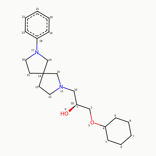 O[C@H](COC1CCCCC1)CN1CCC2(CCN(c3ccccc3)C2)C1